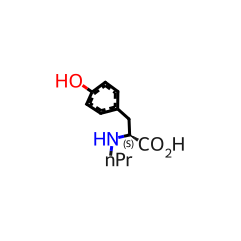 CCCN[C@@H](Cc1ccc(O)cc1)C(=O)O